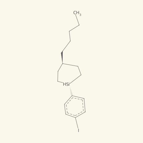 CCCCC[C@H]1CC[Si@H](c2ccc(I)cc2)CC1